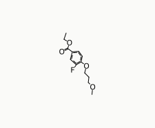 CCOC(=O)c1ccc(OCCCOC)c(F)c1